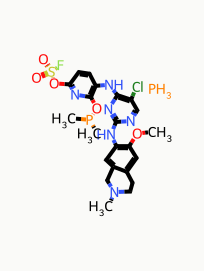 COc1cc2c(cc1Nc1ncc(Cl)c(Nc3ccc(OS(=O)(=O)F)nc3OP(C)C)n1)CN(C)CC2.P